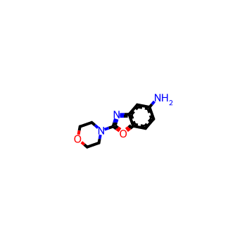 Nc1ccc2oc(N3CCOCC3)nc2c1